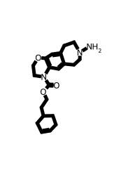 NN1CCc2cc3c(cc2CC1)N(C(=O)OCCC1CC=CCC1)CCO3